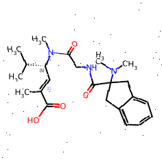 C/C(=C\[C@H](C(C)C)N(C)C(=O)CNC(=O)C1(N(C)C)Cc2ccccc2C1)C(=O)O